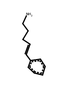 NCCCC=Cc1ccccc1